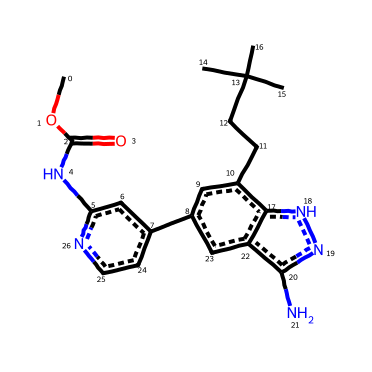 COC(=O)Nc1cc(-c2cc(CCC(C)(C)C)c3[nH]nc(N)c3c2)ccn1